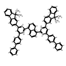 CC1(C)c2ccccc2-c2ccc(-c3cc(-c4ccc(-c5ccccc5)cc4)nc(-c4cccc5c(-c6nc(-c7ccc(-c8ccccc8)cc7)cc(-c7ccc8c(c7)C(C)(C)c7ccccc7-8)n6)cccc45)n3)cc21